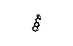 NC(=O)[CH]c1ccc2c(c1)OCCO2